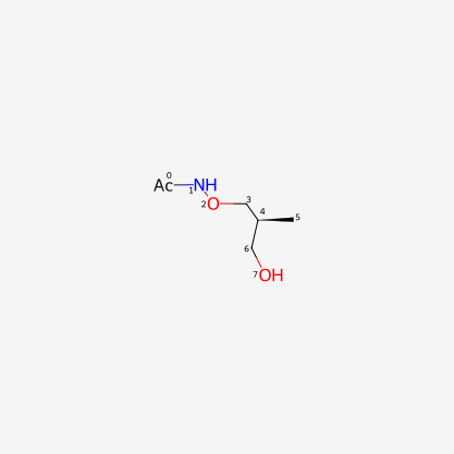 CC(=O)NOC[C@@H](C)CO